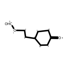 O=COCCC1CCC(=O)CC1